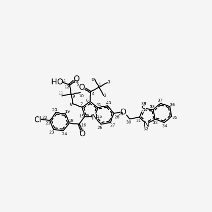 CC(C)(C)C(=O)c1c(CC(C)(C)C(=O)O)c(C(=O)c2ccc(Cl)cc2)n2ccc(OCc3nc4ccccc4s3)cc12